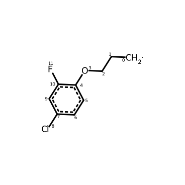 [CH2]CCOc1ccc(Cl)cc1F